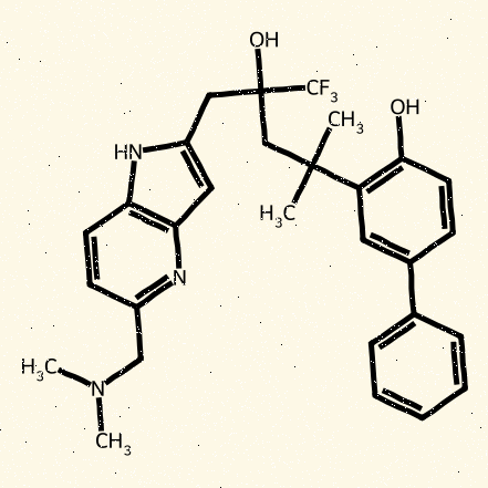 CN(C)Cc1ccc2[nH]c(CC(O)(CC(C)(C)c3cc(-c4ccccc4)ccc3O)C(F)(F)F)cc2n1